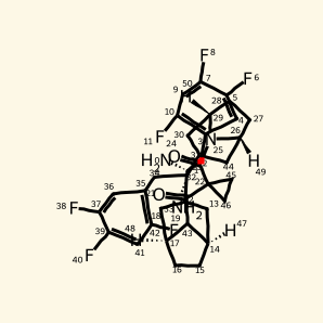 N[C@H](Cc1cc(F)c(F)cc1F)C1C[C@H]2CC[C@@H](C1)C2C(=O)C1(C(=O)N2[C@@H]3CC[C@H]2CC([C@H](N)Cc2cc(F)c(F)cc2F)C3)CC1